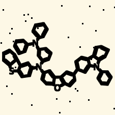 c1ccc(N(c2ccccc2)c2cccc(N(c3ccc4oc5ccc(-c6ccc7c8ccccc8n(-c8ccccc8)c7c6)cc5c4c3)c3ccc4sc5ccccc5c4c3)c2)cc1